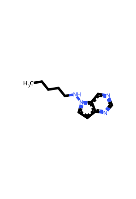 CCCCCNn1ccc2ncncc21